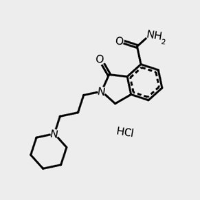 Cl.NC(=O)c1cccc2c1C(=O)N(CCCN1CCCCC1)C2